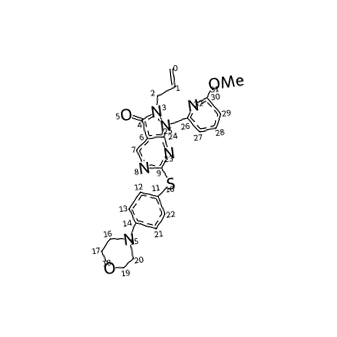 C=CCn1c(=O)c2cnc(Sc3ccc(N4CCOCC4)cc3)nc2n1-c1cccc(OC)n1